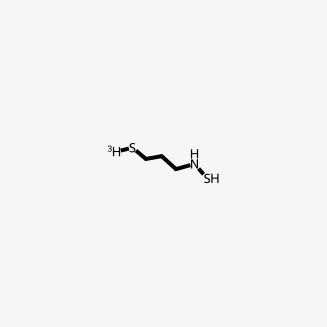 [3H]SCCCNS